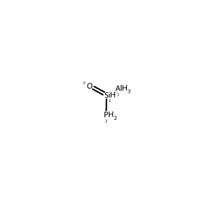 O=[SiH]P.[AlH3]